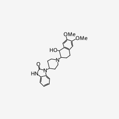 COc1cc2c(cc1OC)C(O)C(N1CCC(n3c(=O)[nH]c4ccccc43)CC1)CC2